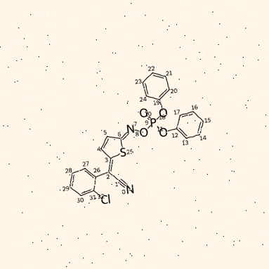 N#CC(=C1C=CC(=NOP(=O)(Oc2ccccc2)Oc2ccccc2)S1)c1ccccc1Cl